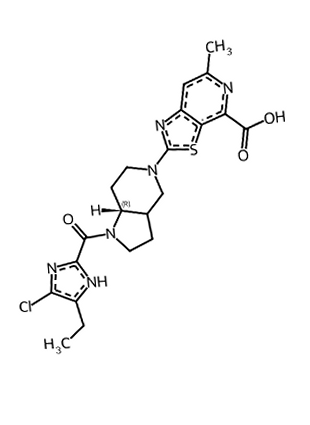 CCc1[nH]c(C(=O)N2CCC3CN(c4nc5cc(C)nc(C(=O)O)c5s4)CC[C@H]32)nc1Cl